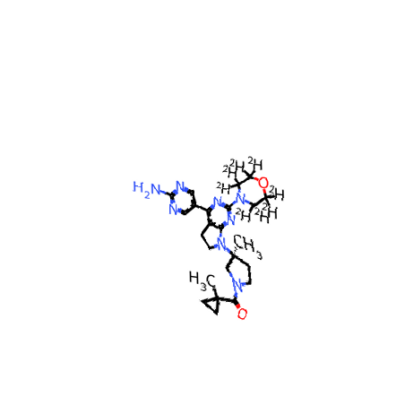 [2H]C1([2H])OC([2H])([2H])C([2H])([2H])N(c2nc(-c3cnc(N)nc3)c3c(n2)N([C@@]2(C)CCN(C(=O)C4(C)CC4)C2)CC3)C1([2H])[2H]